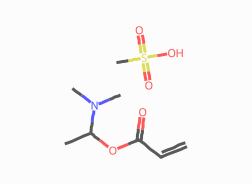 C=CC(=O)OC(C)N(C)C.CS(=O)(=O)O